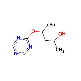 CCCCC(CC(C)O)Oc1ncncn1